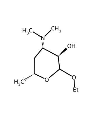 CCOC1O[C@H](C)C[C@H](N(C)C)[C@H]1O